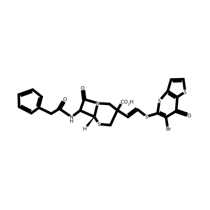 O=C(Cc1ccccc1)NC1C(=O)N2CC(C=CSc3sc4ccsc4c(=O)c3Br)(C(=O)O)CS[C@H]12